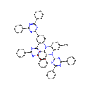 N#Cc1ccc2c(c1)N(c1nc(-c3ccccc3)nc(-c3ccccc3)n1)c1ccccc1N2c1ccc(-c2nc(-c3ccccc3)nc(-c3ccccc3)n2)cc1-c1nc(-c2ccccc2)nc(-c2ccccc2)n1